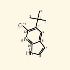 CC(C)(C)c1cc2cc[nH]c2nc1Cl